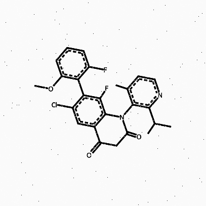 COc1cccc(F)c1-c1c(Cl)cc2c(c1F)N(c1c(C)ccnc1C(C)C)C(=O)CC2=O